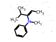 C/C=C(/C(C)C)N(C)c1ccccc1